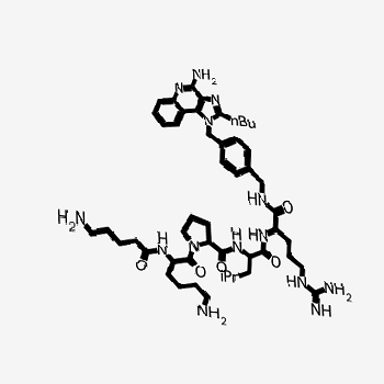 CCCCc1nc2c(N)nc3ccccc3c2n1Cc1ccc(CNC(=O)C(CCCNC(=N)N)NC(=O)C(CC(C)C)NC(=O)C2CCCN2C(=O)C(CCCCN)NC(=O)CCCCN)cc1